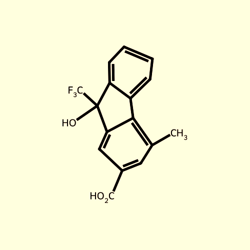 Cc1cc(C(=O)O)cc2c1-c1ccccc1C2(O)C(F)(F)F